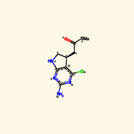 COC(=O)C[C@@H]1CNc2nc(N)nc(Cl)c21